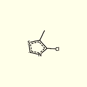 Cc1s[c]nc1Cl